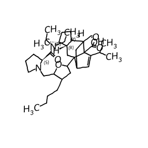 CCCCC1CC(C23C[C@@H]4[C@H](C)CC[C@H]4C4(C=O)CC2C=C(C(C)C)C34C(=O)O)OC1CN1CCC[C@H]1C(=O)N(CC)CC